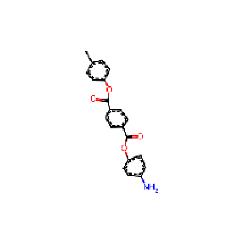 Cc1ccc(OC(=O)c2ccc(C(=O)Oc3ccc(N)cc3)cc2)cc1